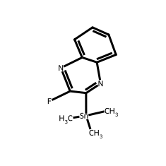 [CH3][Sn]([CH3])([CH3])[c]1nc2ccccc2nc1F